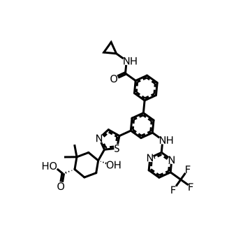 CC1(C)C[C@@](O)(c2ncc(-c3cc(Nc4nccc(C(F)(F)F)n4)cc(-c4cccc(C(=O)NC5CC5)c4)c3)s2)CC[C@@H]1C(=O)O